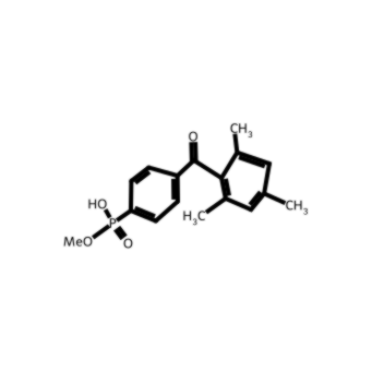 COP(=O)(O)c1ccc(C(=O)c2c(C)cc(C)cc2C)cc1